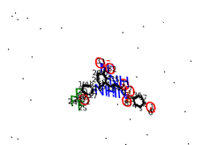 COc1ccc(S(=O)(=O)NC(=O)c2cc3c(Nc4cccc(OC(F)(F)F)c4)ccc([N+](=O)[O-])c3[nH]2)cc1